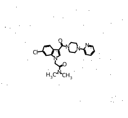 CN(C)C(=O)Cn1cc(C(=O)N2CCN(c3ccccn3)CC2)c2ccc(Cl)cc21